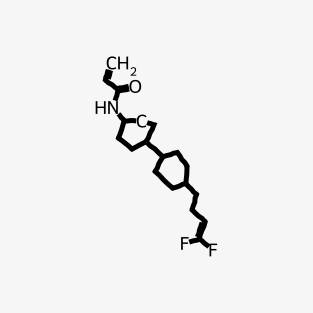 C=CC(=O)NC1CCC(C2CCC(CCC=C(F)F)CC2)CC1